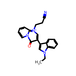 CCn1cc(-c2c[n+](CCC#N)c3ccccn3c2=O)c2ccccc21